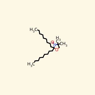 CCCCCCCCCC1(CCCCCCCCC)OCC(C)(C)N1[O]